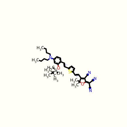 CCCCN(CCCC)c1ccc(/C=C/c2ccc(/C=C/C3=C(C#N)C(=C(C#N)C#N)OC3(C)C)s2)c(O[Si](C)(C)C(C)(C)C)c1